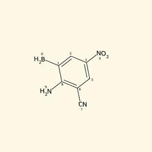 Bc1cc([N+](=O)[O-])cc(C#N)c1N